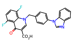 O=C(O)c1cn(Cc2ccc(-n3cnc4ccccc43)cc2)c2c(F)ccc(F)c2c1=O